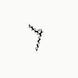 COCCOCCOCC(CO)OCCOCCOC